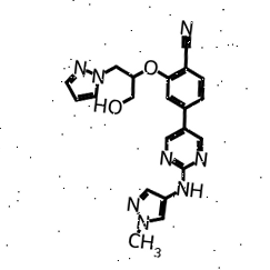 Cn1cc(Nc2ncc(-c3ccc(C#N)c(OC(CO)Cn4cccn4)c3)cn2)cn1